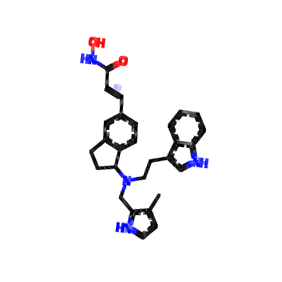 Cc1cc[nH]c1CN(CCc1c[nH]c2ccccc12)C1CCc2cc(/C=C/C(=O)NO)ccc21